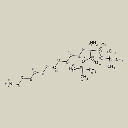 CC(C)(C)OC(=O)C(N)(CCOCCOCCOCCCN)C(=O)OC(C)(C)C